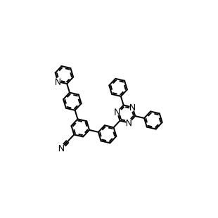 N#Cc1cc(-c2ccc(-c3ccccn3)cc2)cc(-c2cccc(-c3nc(-c4ccccc4)nc(-c4ccccc4)n3)c2)c1